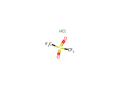 Cl.O=S(=O)(C(F)(F)F)C(F)(F)F